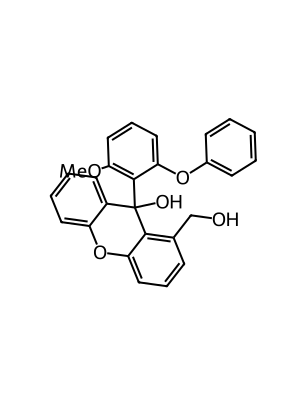 COc1cccc(Oc2ccccc2)c1C1(O)c2ccccc2Oc2cccc(CO)c21